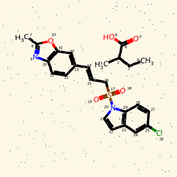 CCC(C)C(=O)O.Cc1nc2ccc(C=CCS(=O)(=O)n3ccc4cc(Cl)ccc43)cc2o1